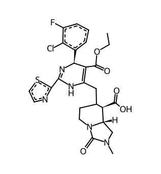 CCOC(=O)C1=C(CC2CCN3C(=O)N(C)C[C@H]3[C@@H]2C(=O)O)NC(c2nccs2)=N[C@H]1c1cccc(F)c1Cl